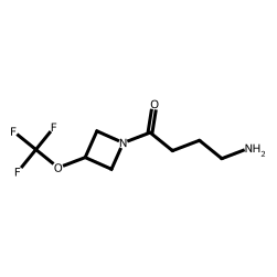 NCCCC(=O)N1CC(OC(F)(F)F)C1